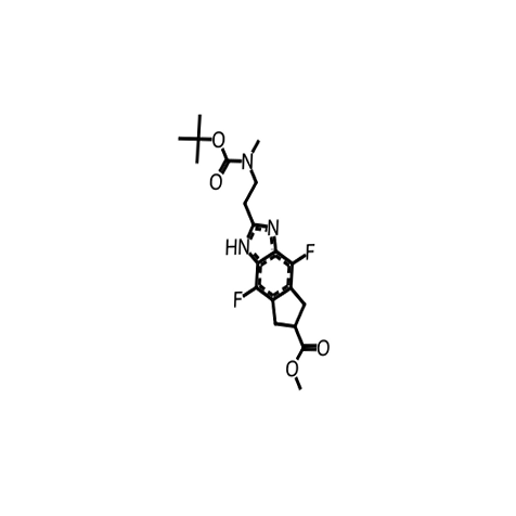 COC(=O)C1Cc2c(c(F)c3[nH]c(CCN(C)C(=O)OC(C)(C)C)nc3c2F)C1